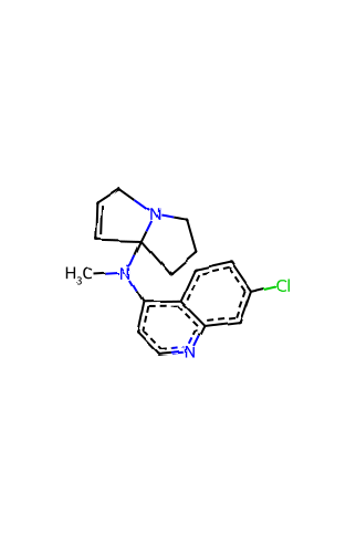 CN(c1ccnc2cc(Cl)ccc12)C12C=CCN1CCC2